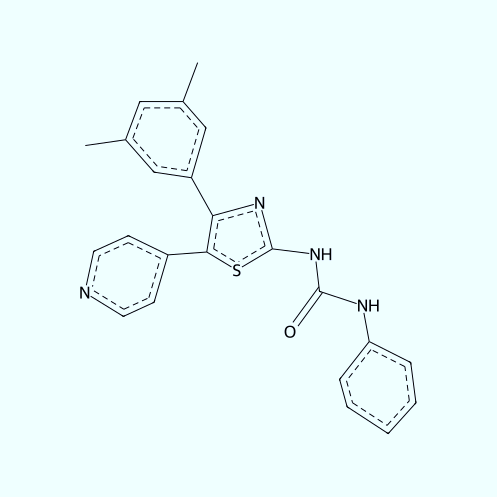 Cc1cc(C)cc(-c2nc(NC(=O)Nc3ccccc3)sc2-c2ccncc2)c1